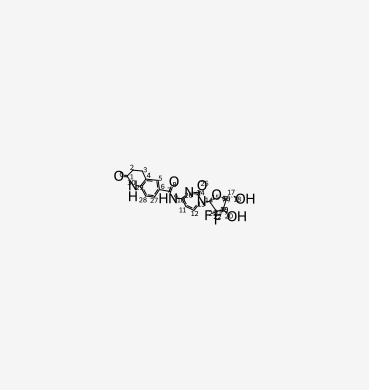 O=C1CCc2cc(C(=O)Nc3ccn(C4O[C@H](CO)[C@@H](O)C4(F)F)c(=O)n3)ccc2N1